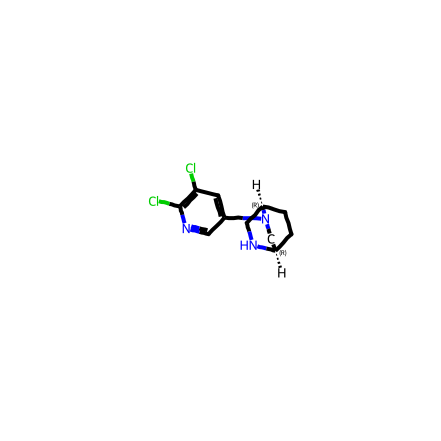 Clc1cc(N2C[C@H]3CC[C@@H]2CN3)cnc1Cl